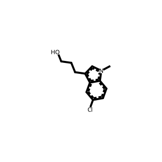 Cn1cc(CCCO)c2cc(Cl)ccc21